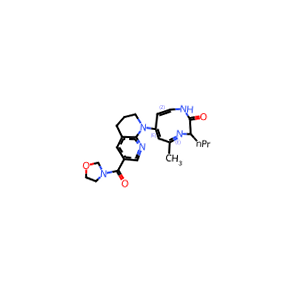 CCCC1/N=C(C)/C=C(N2CCCc3cc(C(=O)N4CCOC4)cnc32)\C=C/NC1=O